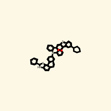 c1ccc(C2Nc3ccc4ccc5cc(N(c6ccccc6)c6ccccc6-c6ccc7c(c6)sc6ccc(C8CCCCC8)cc67)ccc5c4c3S2)cc1